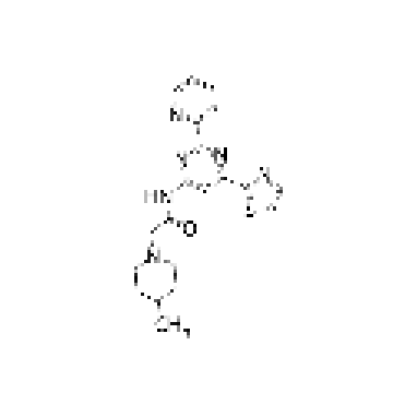 CC1CCN(CC(=O)Nc2cc(-c3nccs3)nc(-c3ccccn3)n2)CC1